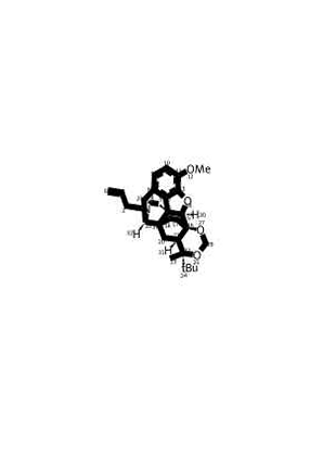 C=CCN1CC[C@]23c4c5ccc(OC)c4O[C@H]2[C@@]24CCC3(C[C@@H]2[C@@](C)(C(C)(C)C)OCO4)[C@H]1C5